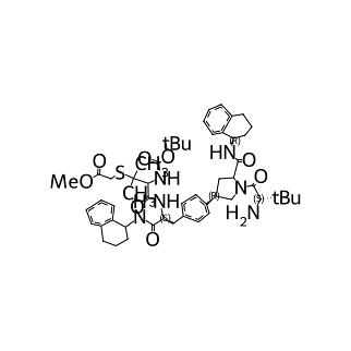 COC(=O)CSC(C)(C)C(NC(=O)OC(C)(C)C)C(=O)N[C@@H](Cc1ccc([C@H]2CC(C(=O)N[C@@H]3CCCc4ccccc43)N(C(=O)[C@@H](N)C(C)(C)C)C2)cc1)C(=O)NC1CCCc2ccccc21